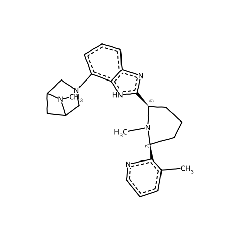 Cc1cccnc1[C@@H]1CCC[C@H](c2nc3cccc(N4CC5CC(C4)N5C)c3[nH]2)N1C